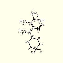 C=N/C(=C(/N)C(=N)N)N(N)C1CCC(C)(C)CC1